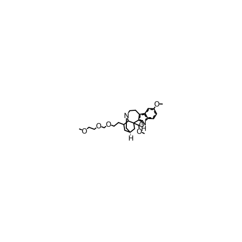 COCCOCOCCC1C[C@H]2CN3CCc4c([nH]c5ccc(OC)cc45)C(C(=O)OC)(C2)C13